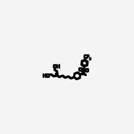 CN(C1CCC(CCCCCN(CCO)CCO)CC1)S(=O)(=O)c1ccc(C(F)(F)F)cc1